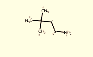 CC(C)(C)CSN